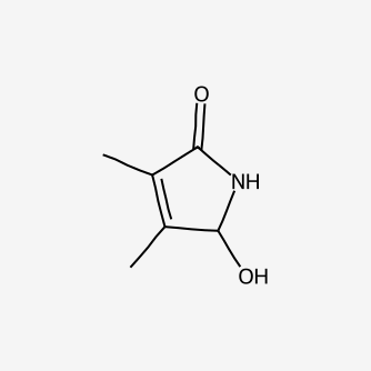 CC1=C(C)C(O)NC1=O